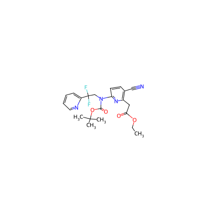 CCOC(=O)Cc1nc(N(CC(F)(F)c2ccccn2)C(=O)OC(C)(C)C)ccc1C#N